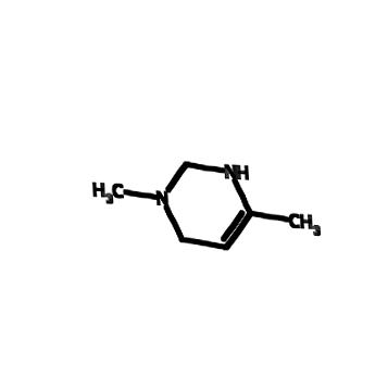 CC1=CCN(C)CN1